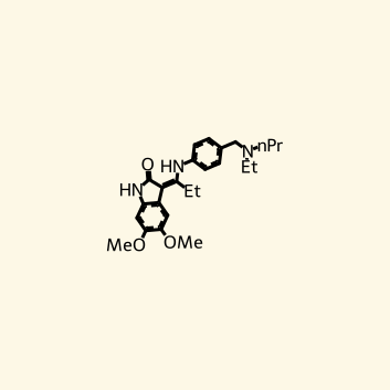 CCCN(CC)Cc1ccc(N/C(CC)=C2\C(=O)Nc3cc(OC)c(OC)cc32)cc1